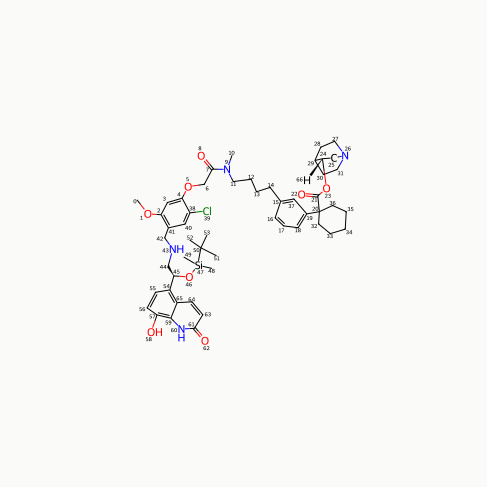 COc1cc(OCC(=O)N(C)CCCCc2cccc(C3(C(=O)O[C@H]4CN5CCC4CC5)CCCCC3)c2)c(Cl)cc1CNC[C@@H](O[Si](C)(C)C(C)(C)C)c1ccc(O)c2[nH]c(=O)ccc12